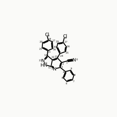 N#Cc1c(-c2ccccc2)nc2[nH]nc(-c3ccc(Cl)cc3)c2c1-c1ccc(Cl)cc1